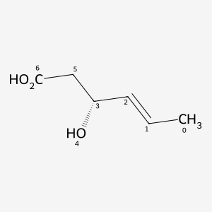 CC=C[C@H](O)CC(=O)O